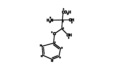 NC(O)(C(=O)O)C(O)Oc1ccccc1